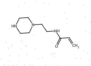 C=CC(=O)NCCN1CCNCC1